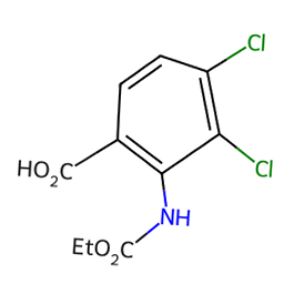 CCOC(=O)Nc1c(C(=O)O)ccc(Cl)c1Cl